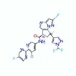 C[C@]1(c2cnn(C(F)F)c2)C[C@@H](C(=O)Nc2cnc(-c3ncc(F)cn3)c(Cl)c2)c2cnc3cc(F)nn3c21